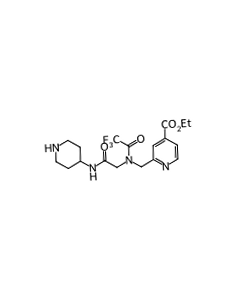 CCOC(=O)c1ccnc(CN(CC(=O)NC2CCNCC2)C(=O)C(F)(F)F)c1